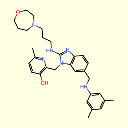 Cc1cc(C)cc(NCc2ccc3nc(NCCCN4CCCOCC4)n(Cc4nc(C)ccc4O)c3c2)c1